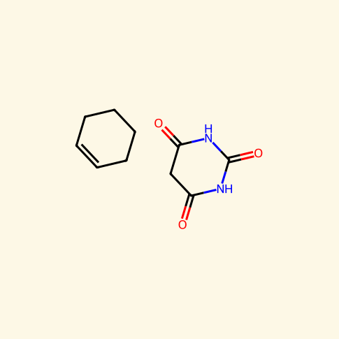 C1=CCCCC1.O=C1CC(=O)NC(=O)N1